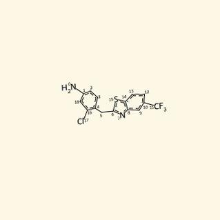 Nc1ccc(Cc2nc3cc(C(F)(F)F)ccc3s2)c(Cl)c1